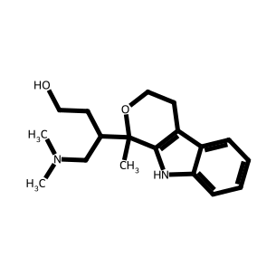 CN(C)CC(CCO)C1(C)OCCc2c1[nH]c1ccccc21